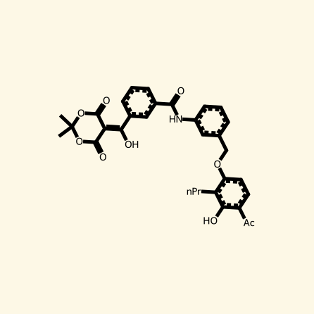 CCCc1c(OCc2cccc(NC(=O)c3cccc(C(O)=C4C(=O)OC(C)(C)OC4=O)c3)c2)ccc(C(C)=O)c1O